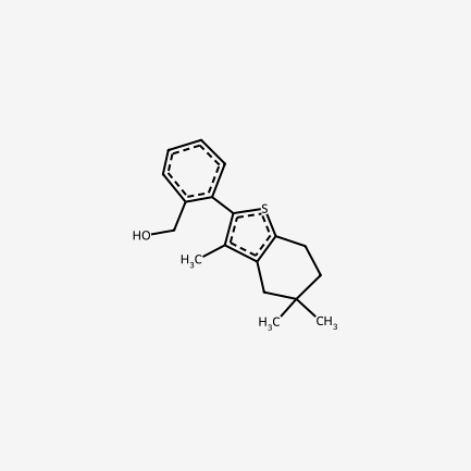 Cc1c(-c2ccccc2CO)sc2c1CC(C)(C)CC2